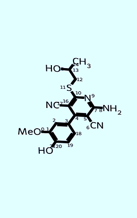 COc1cc(-c2c(C#N)c(N)nc(SCC(C)O)c2C#N)ccc1O